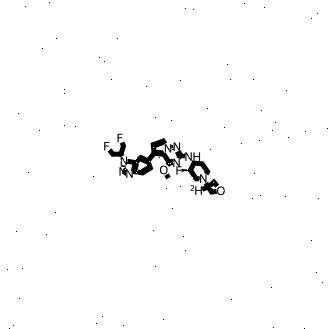 [2H]C1(N2CC[C@@H](Nc3nc(OC)c4c(-c5ccc6nnn(C(CF)CF)c6c5)ccn4n3)[C@H](F)C2)COC1